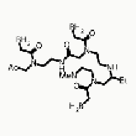 BCC(=O)N(CCNC(=O)CN(CCNC(CC)CN(CCNC)C(=O)CB)C(=O)CB)CC(C)=O